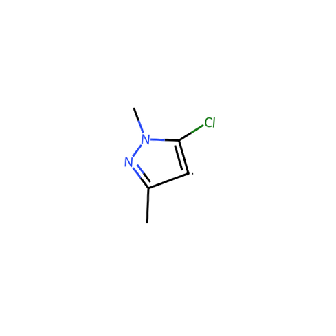 Cc1[c]c(Cl)n(C)n1